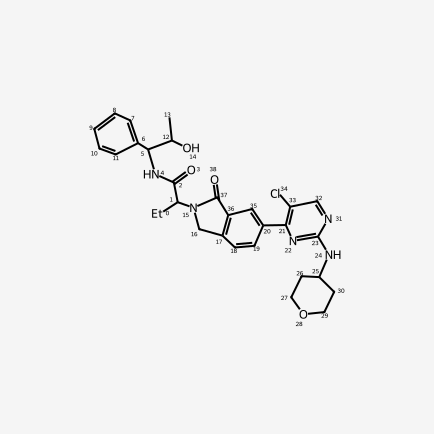 CCC(C(=O)NC(c1ccccc1)C(C)O)N1Cc2ccc(-c3nc(NC4CCOCC4)ncc3Cl)cc2C1=O